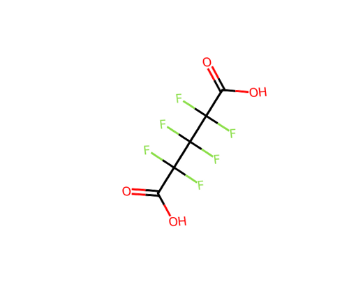 O=C(O)C(F)(F)C(F)(F)C(F)(F)C(=O)O